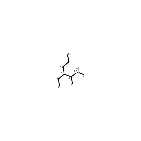 CCC[C@H](CC)C(C)NC